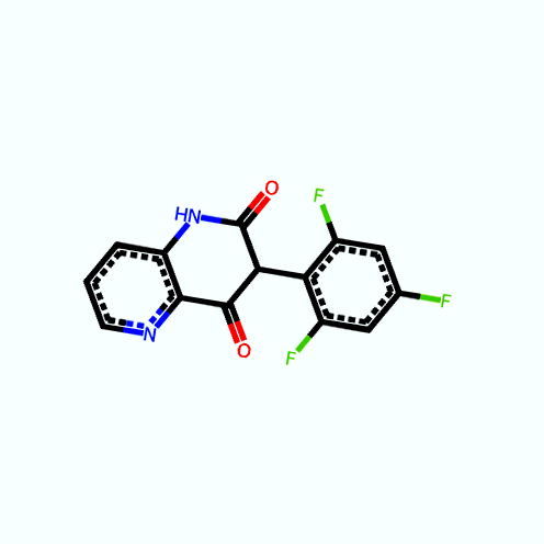 O=C1Nc2cccnc2C(=O)C1c1c(F)cc(F)cc1F